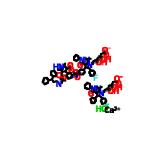 CC(C)c1c(C(=O)Nc2ccccc2)c(-c2ccccc2)c(-c2ccc(F)cc2)n1CC[C@@H](O)C[C@@H](O)CC(=O)[O-].CC(C)c1c(C(=O)Nc2ccccc2)c(-c2ccccc2)c(-c2ccc(F)cc2)n1CC[C@@H](O)C[C@@H](O)CC(=O)[O-].COC(=O)C1=C(C)NC(C)=C(C(=O)OC(C)(C)CN(C)CCC(c2ccccc2)c2ccccc2)C1c1cccc([N+](=O)[O-])c1.Cl.[Ca+2]